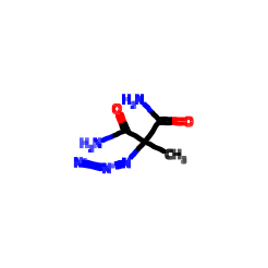 CC(N=[N+]=[N-])(C(N)=O)C(N)=O